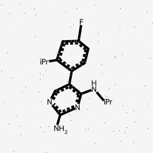 CC(C)Nc1nc(N)ncc1-c1ccc(F)cc1C(C)C